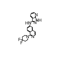 FC1(F)CCN(c2nccc3cc(Nc4n[nH]c5ncccc45)ccc23)CC1